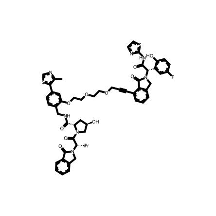 Cc1ncsc1-c1ccc(CNC(=O)[C@@H]2C[C@@H](O)CN2C(=O)[C@H](C(C)C)N2Cc3ccccc3C2=O)c(OCCOCCOCC#Cc2cccc3c2C(=O)N([C@H](C(=O)Nc2nccs2)c2cc(F)ccc2O)C3)c1